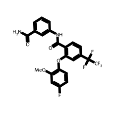 COc1cc(F)ccc1Oc1cc(C(F)(F)C(F)(F)F)ccc1C(=O)Nc1cccc(C(N)=O)c1